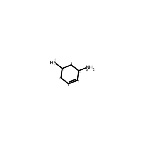 NC1C=CCC(S)C1